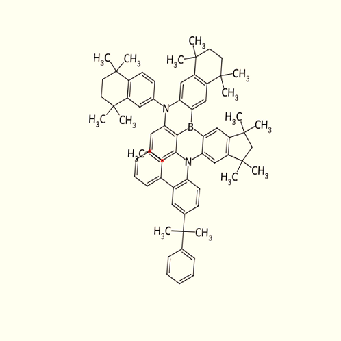 Cc1cc2c3c(c1)N(c1ccc(C(C)(C)c4ccccc4)cc1-c1ccccc1)c1cc4c(cc1B3c1cc3c(cc1N2c1ccc2c(c1)C(C)(C)CCC2(C)C)C(C)(C)CCC3(C)C)C(C)(C)CC4(C)C